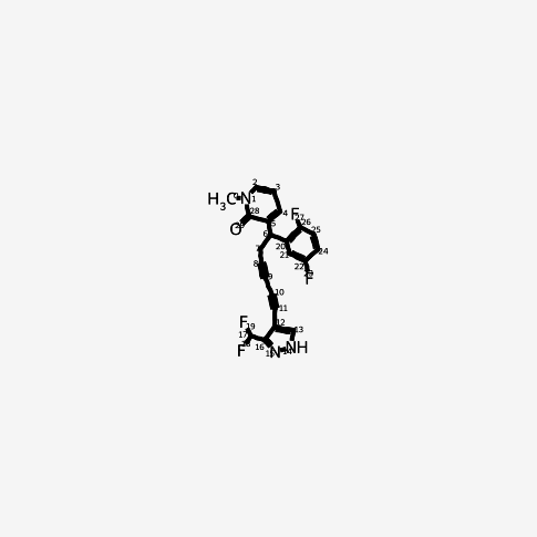 Cn1cccc(C(CC#CC#Cc2c[nH]nc2C(F)F)c2cc(F)ccc2F)c1=O